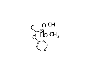 CO[SiH](OC)C(=O)Oc1ccccc1